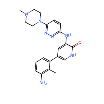 Cc1c(N)cccc1-c1c[nH]c(=O)c(Nc2ccc(N3CCN(C)CC3)nn2)c1